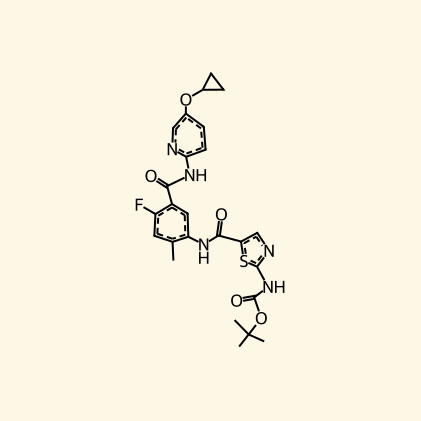 Cc1cc(F)c(C(=O)Nc2ccc(OC3CC3)cn2)cc1NC(=O)c1cnc(NC(=O)OC(C)(C)C)s1